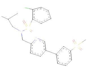 CC(C)CN(Cc1ccc(-c2cccc(S(C)(=O)=O)c2)cn1)S(=O)(=O)c1ccccc1Cl